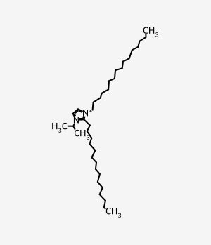 CCCCCCCCCCCCCCCC[n+]1ccn(C(C)C)c1CCCCCCCCCCCCCCC